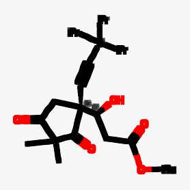 CC(C)[Si](C#C[C@@]1([C@@H](O)CC(=O)OC(C)(C)C)CC(=O)C(C)(C)C1=O)(C(C)C)C(C)C